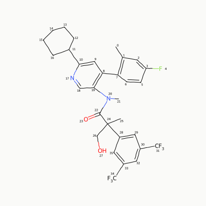 Cc1cc(F)ccc1-c1cc(C2CC[CH]CC2)ncc1N(C)C(=O)C(C)(CO)c1cc(C(F)(F)F)cc(C(F)(F)F)c1